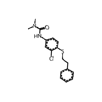 CN(C)C(=O)Nc1ccc(SCCc2ccccc2)c(Cl)c1